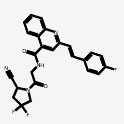 N#CC1CC(F)(F)CN1C(=O)CNC(=O)c1cc(C=Cc2ccc(F)cc2)nc2ccccc12